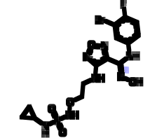 O=S(=O)(NOCCNc1nonc1/C(=N/O)Nc1ccc(F)c(Br)c1)NC1CC1